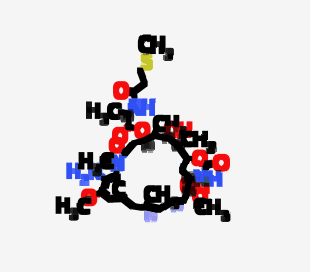 COc1cc2cc(c1N)N(C)C(=O)C[C@@H](OC(=O)[C@@H](C)NC(=O)CCSC)C(C)[C@H](O)[C@@H](C)C1C[C@](O)(NC(=O)O1)[C@@H](OC)/C=C/C=C(\C)C2